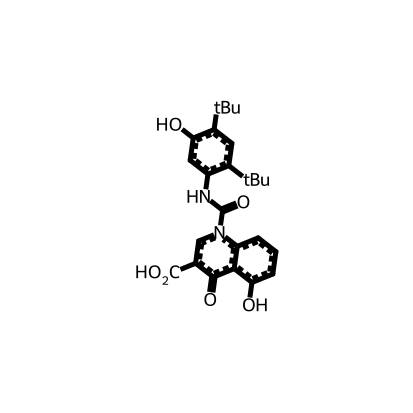 CC(C)(C)c1cc(C(C)(C)C)c(NC(=O)n2cc(C(=O)O)c(=O)c3c(O)cccc32)cc1O